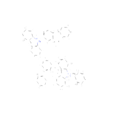 CC1(C)c2ccccc2-c2ccc(-n3c4ccccc4c4ccc(-c5cc(-c6ccccc6)cc(-c6cccc7c6c6ccccc6n7-c6ccccc6)c5)cc43)cc21